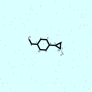 C[C@H]1CC1C1CCC(CI)CC1